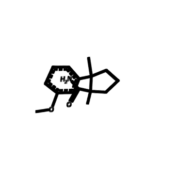 COc1cccc(C2(C)CCCC2(C)C(N)=O)c1